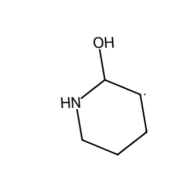 OC1[CH]CCCN1